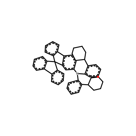 c1ccc2c(c1)-c1ccccc1C21c2ccccc2-c2ccc(N(c3ccccc3C3CCCCC3)c3ccccc3C3CCCCC3)cc21